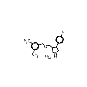 Cl.Fc1ccc(C2CNCC2COCc2cc(C(F)(F)F)cc(C(F)(F)F)c2)cc1